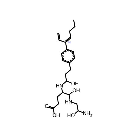 C=C/C(=C\CCC)c1ccc(CCC(O)NC(CCC(=O)O)C(O)NCC(N)O)cc1